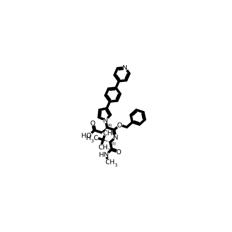 CNC(=O)[C@@H](N=C(OCc1ccccc1)[C@@H](CC(=O)O)n1ccc(-c2ccc(-c3ccncc3)cc2)c1)C(C)(C)C